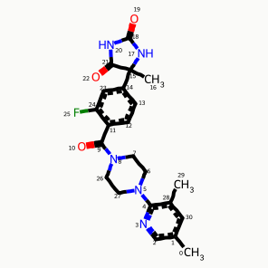 Cc1cnc(N2CCN(C(=O)c3ccc(C4(C)NC(=O)NC4=O)cc3F)CC2)c(C)c1